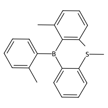 CSc1ccccc1B(c1ccccc1C)c1c(C)cccc1C